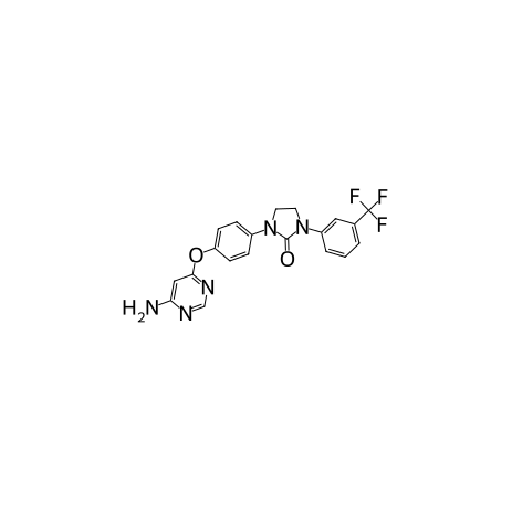 Nc1cc(Oc2ccc(N3CCN(c4cccc(C(F)(F)F)c4)C3=O)cc2)ncn1